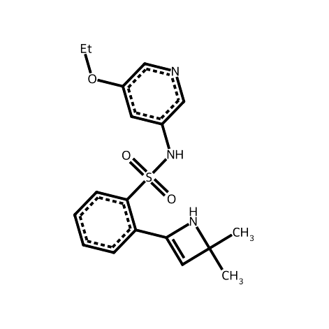 CCOc1cncc(NS(=O)(=O)c2ccccc2C2=CC(C)(C)N2)c1